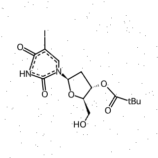 CC(C)(C)C(=O)O[C@H]1C[C@H](n2cc(I)c(=O)[nH]c2=O)O[C@@H]1CO